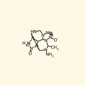 CC1N(N)C2C3NCN(N)C(C(N3N)N2[N+](=O)[O-])N1[N+](=O)[O-]